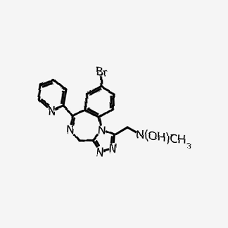 CN(O)Cc1nnc2n1-c1ccc(Br)cc1C(c1ccccn1)=NC2